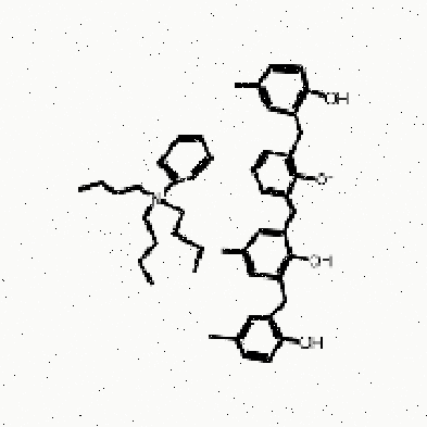 CCCC[N+](CCCC)(CCCC)c1ccccc1.Cc1ccc(O)c(Cc2cccc(Cc3cc(C)cc(Cc4cc(C)ccc4O)c3O)c2[O-])c1